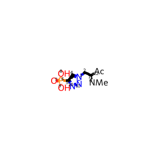 CN[C@@H](Cn1cc(P(=O)(O)O)nn1)C(C)=O